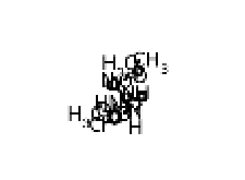 COc1c(Cl)cccc1Nc1c(-c2ccncc2OC[C@H]2OCC2(C)C)[nH]c2c1C(=O)NCC21CCC1